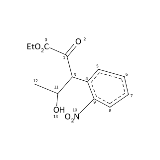 CCOC(=O)C(=O)C(c1ccccc1[N+](=O)[O-])C(C)O